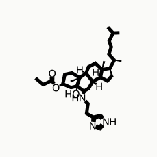 CCC(=O)O[C@H]1CC[C@]2(C)[C@H]3CC[C@]4(C)[C@@H]([C@H](C)CCCC(C)C)CC[C@H]4[C@@H]3CC(NCCc3c[nH]cn3)[C@@]2(O)C1